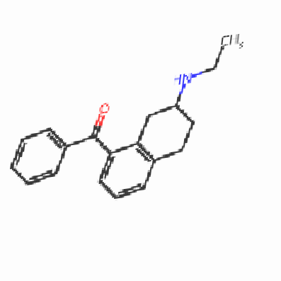 CCNC1CCc2cccc(C(=O)c3ccccc3)c2C1